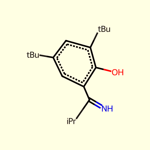 CC(C)C(=N)c1cc(C(C)(C)C)cc(C(C)(C)C)c1O